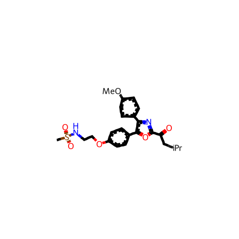 COc1ccc(-c2nc(C(=O)CC(C)C)oc2-c2ccc(OCCNS(C)(=O)=O)cc2)cc1